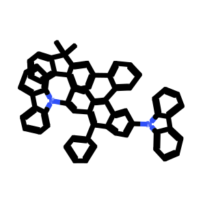 CC1(C)c2ccccc2-c2ccc(-c3ccccc3-c3c4ccc(-n5c6ccccc6c6ccccc65)cc4c(-c4ccccc4)c4ccc(-n5c6ccccc6c6ccccc65)cc34)cc21